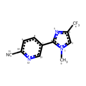 Cn1cc(C(F)(F)F)nc1-c1ccc(C#N)nc1